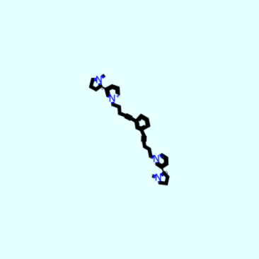 CN1CCC[C@@H]1c1ccc[n+](CCCC#Cc2cccc(C#CCCC[n+]3cccc([C@H]4CCCN4C)c3)c2)c1